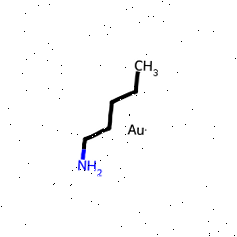 CCCCCN.[Au]